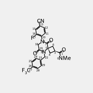 CNC(=O)[C@H]1C[C@]2(C1)C(=O)N(c1ccc(C#N)cc1F)CC(=O)N2Cc1ccc(C(F)(F)F)cc1